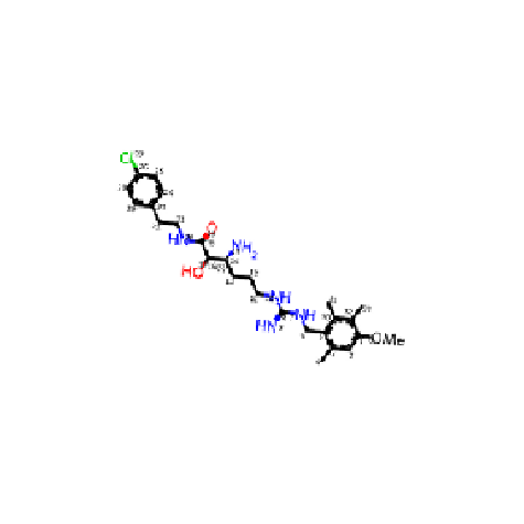 COc1cc(C)c(CNC(=N)NCCC[C@H](N)C(O)C(=O)NCCc2ccc(Cl)cc2)c(C)c1C